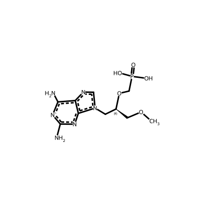 COC[C@@H](Cn1cnc2c(N)nc(N)nc21)OCP(=O)(O)O